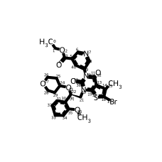 CCOC(=O)c1cncc(-n2c(=O)c3c(C)c(Br)sc3n(C[C@H](OC3CCOCC3)c3ccccc3OC)c2=O)c1